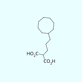 O=C(O)C(CCCC1CCCCCCC1)C(=O)O